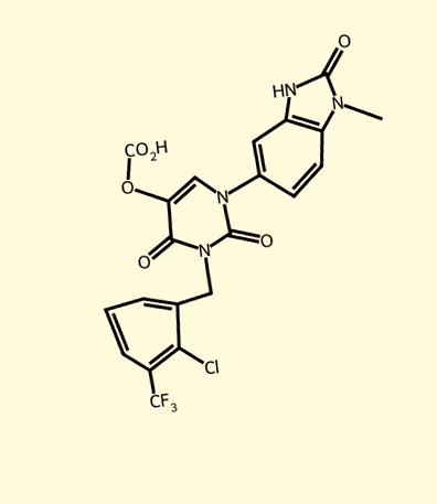 Cn1c(=O)[nH]c2cc(-n3cc(OC(=O)O)c(=O)n(Cc4cccc(C(F)(F)F)c4Cl)c3=O)ccc21